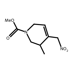 COC(=O)N1CC=C(C[N+](=O)[O-])C(C)C1